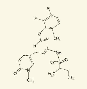 CCC(C)S(=O)(=O)Nc1cc(-c2ccc(=O)n(C)c2)nc(Oc2c(C)ccc(F)c2F)n1